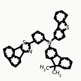 CC1(C)c2ccccc2-c2cc(N(c3cccc(-c4nc5c(s4)-c4cccc6cccc-5c46)c3)c3ccc4sc5ccccc5c4c3)ccc21